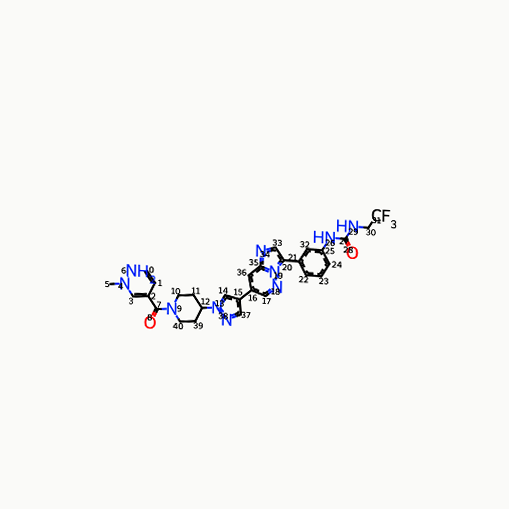 C=C/C(=C\N(C)N)C(=O)N1CCC(n2cc(-c3cnn4c(-c5cccc(NC(=O)NCC(F)(F)F)c5)cnc4c3)cn2)CC1